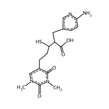 Cn1cc(CCC(S)C(Cc2ccc(N)nc2)C(=O)O)c(=O)n(C)c1=O